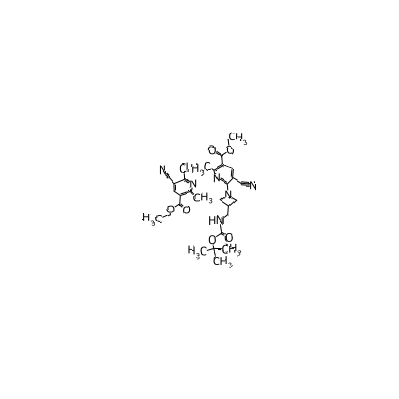 CCOC(=O)c1cc(C#N)c(Cl)nc1C.CCOC(=O)c1cc(C#N)c(N2CC(CNC(=O)OC(C)(C)C)C2)nc1C